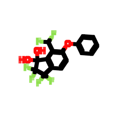 OC1(O)c2c(ccc(Oc3ccccc3)c2C(F)F)C(F)(F)C1(F)F